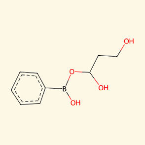 OCCC(O)OB(O)c1ccccc1